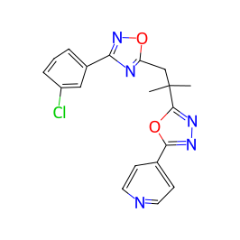 CC(C)(Cc1nc(-c2cccc(Cl)c2)no1)c1nnc(-c2ccncc2)o1